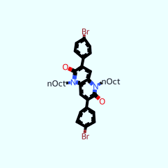 CCCCCCCCn1c(=O)c(-c2ccc(Br)cc2)cc2c1cc(-c1ccc(Br)cc1)c(=O)n2CCCCCCCC